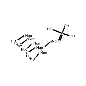 CCCCCCCCCC.CCCCCCCCCC.CCCCCCCCCC.CCCCCCCCCC.CCCCCCCCCC.CCCCCCCCCC.O=P(O)(O)O